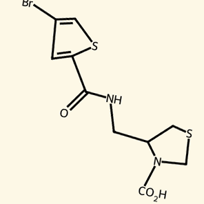 O=C(NCC1CSCN1C(=O)O)c1cc(Br)cs1